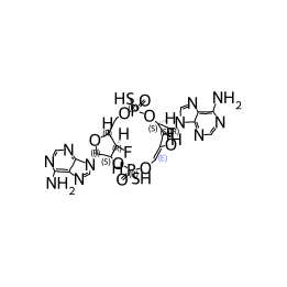 Nc1ncnc2c1ncn2[C@@H]1O[C@@H]2CO[P@@](=O)(S)O[C@@H]3[C@H](F)/C(=C\O[P@@](=O)(S)O[C@@H]1[C@@H]2F)O[C@H]3n1cnc2c(N)ncnc21